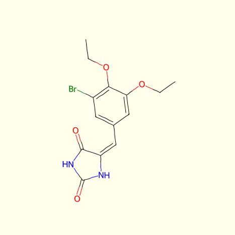 CCOc1cc(C=C2NC(=O)NC2=O)cc(Br)c1OCC